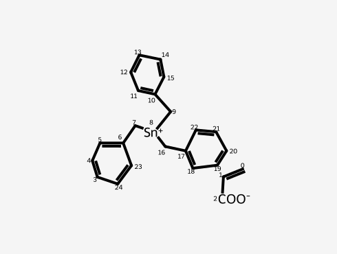 C=CC(=O)[O-].c1ccc([CH2][Sn+]([CH2]c2ccccc2)[CH2]c2ccccc2)cc1